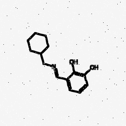 Oc1cccc(C=NCC2CCCCC2)c1O